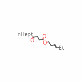 CCC=CCCOC(=O)CCC(=O)CCCCCCC